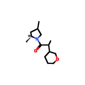 CC1C[C@@H](C)N(C(=O)C(C)C2CCCOC2)C1